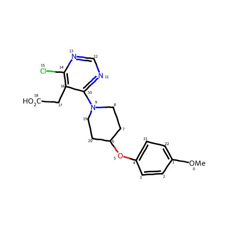 COc1ccc(OC2CCN(c3ncnc(Cl)c3CC(=O)O)CC2)cc1